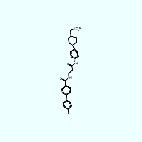 CCc1ccc(-c2ccc(C(=O)NCCC(=O)Nc3ccc(C4CCC(CC(=O)O)CC4)cc3)cc2)cc1